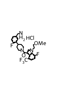 COCCn1cc(C(=O)N2CCC(c3cc(CN)ccc3F)CC2)c2c(C(F)(F)F)ccc(F)c21.Cl